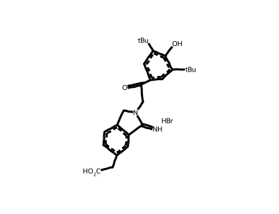 Br.CC(C)(C)c1cc(C(=O)CN2Cc3ccc(CC(=O)O)cc3C2=N)cc(C(C)(C)C)c1O